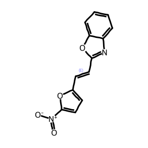 O=[N+]([O-])c1ccc(/C=C/c2nc3ccccc3o2)o1